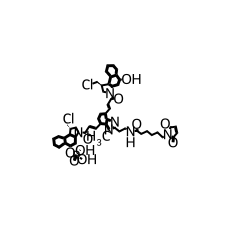 Cn1c(CCNC(=O)CCCCCN2C(=O)C=CC2=O)nc2c(/C=C/C(=O)N3C[C@@H](CCl)c4c3cc(O)c3ccccc43)ccc(/C=C/C(=O)N3C[C@@H](CCl)c4c3cc(OP(=O)(O)O)c3ccccc43)c21